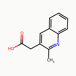 Cc1nc2ccccc2cc1CC(=O)O